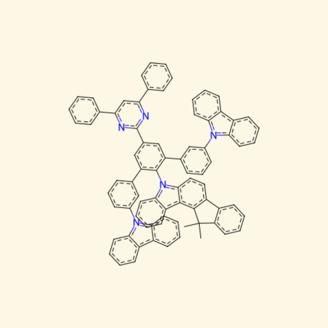 CC1(C)c2ccccc2-c2ccc3c(c21)c1ccccc1n3-c1c(-c2cccc(-n3c4ccccc4c4ccccc43)c2)cc(-c2nc(-c3ccccc3)cc(-c3ccccc3)n2)cc1-c1cccc(-n2c3ccccc3c3ccccc32)c1